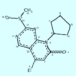 CCc1cc(=O)n(C2CCCC2)c2nc([S+](C)[O-])ncc12